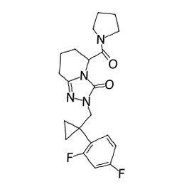 O=C(C1CCCc2nn(CC3(c4ccc(F)cc4F)CC3)c(=O)n21)N1CCCC1